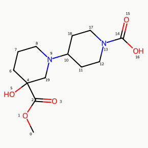 COC(=O)C1(O)CCCN(C2CCN(C(=O)O)CC2)C1